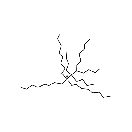 CCCCCCCC[PH](CCCCCCCC)(CCCCCCCC)C(CCCC)(CCCC)C(CCCC)CCCCCC